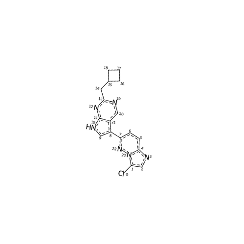 Clc1cnc2ccc(-c3c[nH]c4nc(CC5CCC5)ncc34)nn12